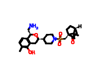 Cc1ccc2c(c1O)C[C@@H](C1CCN(S(=O)(=O)C[C@@]34CC[C@@H](CC3=O)C4(C)C)CC1)O[C@H]2CN